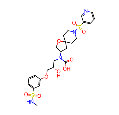 CNS(=O)(=O)c1cccc(OC[C@@H](O)CN(C(=O)O)[C@H]2COC3(CCN(S(=O)(=O)c4cccnc4)CC3)C2)c1